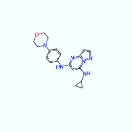 c1cc2nc(Nc3ccc(N4CCOCC4)cc3)cc(NC3CC3)n2n1